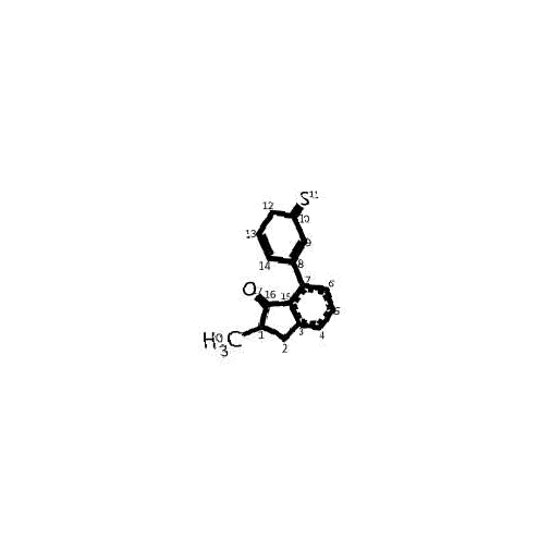 CC1Cc2cccc(C3=CC(=S)CC=C3)c2C1=O